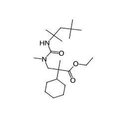 CCOC(=O)C(C)(CN(C)C(=O)NC(C)(C)CC(C)(C)C)C1CCCCC1